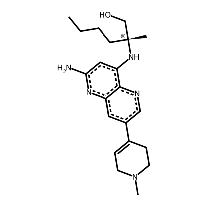 CCCC[C@](C)(CO)Nc1cc(N)nc2cc(C3=CCN(C)CC3)cnc12